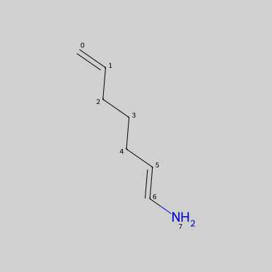 C=CCCC/C=C/N